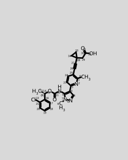 Cc1nc(-c2cnn(C)c2NC(=O)O[C@H](C)c2ccccc2Cl)ccc1C#CC1(CC(=O)O)CC1